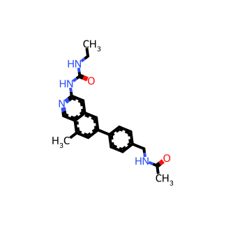 CCNC(=O)Nc1cc2cc(-c3ccc(CNC(C)=O)cc3)cc(C)c2cn1